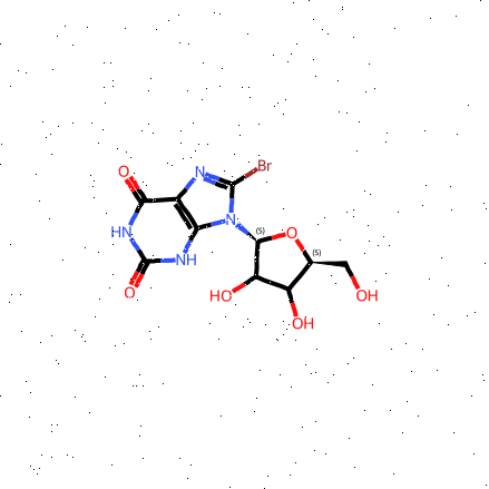 O=c1[nH]c(=O)c2nc(Br)n([C@H]3O[C@@H](CO)C(O)C3O)c2[nH]1